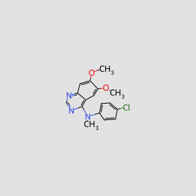 COc1cc2ncnc(N(C)c3ccc(Cl)cc3)c2cc1OC